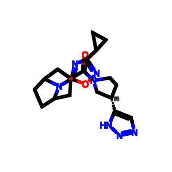 O=C(C1CC2CCC(C1)N2c1nc(C2CC2)no1)N1CC[C@H](c2cnn[nH]2)C1